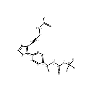 CC(=O)NCC#Cc1ncsc1-c1ccc([C@H](C)NC(=O)OC(C)(C)C)cc1